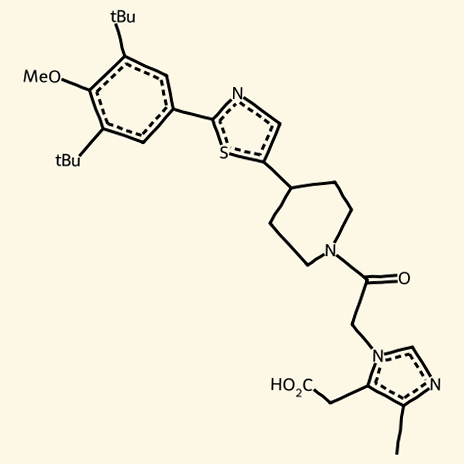 COc1c(C(C)(C)C)cc(-c2ncc(C3CCN(C(=O)Cn4cnc(C)c4CC(=O)O)CC3)s2)cc1C(C)(C)C